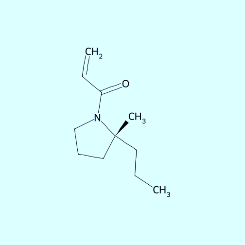 C=CC(=O)N1CCC[C@@]1(C)CCC